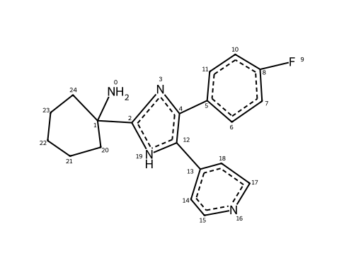 NC1(c2nc(-c3ccc(F)cc3)c(-c3ccncc3)[nH]2)CCCCC1